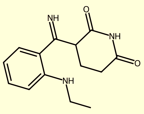 CCNc1ccccc1C(=N)C1CCC(=O)NC1=O